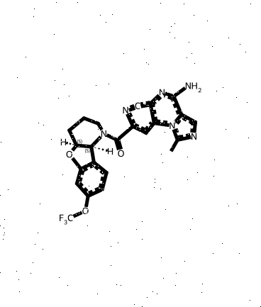 Cc1ncc2c(N)nc3cnc(C(=O)N4CCC[C@@H]5Oc6cc(OC(F)(F)F)ccc6[C@@H]54)cc3n12